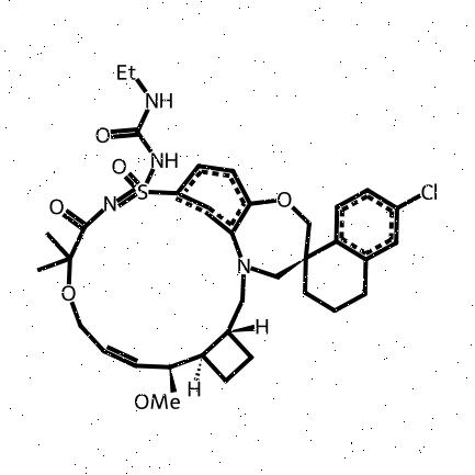 CCNC(=O)NS1(=O)=NC(=O)C(C)(C)OCC=C[C@H](OC)[C@@H]2CC[C@H]2CN2C[C@@]3(CCCc4cc(Cl)ccc43)COc3ccc1cc32